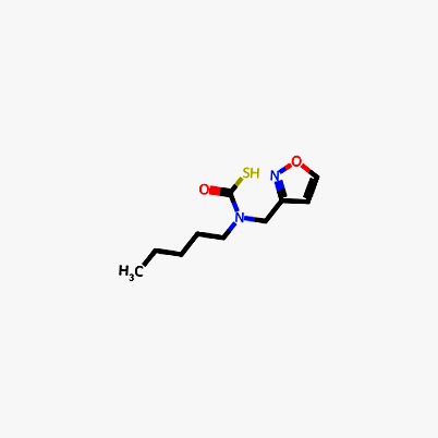 CCCCCN(Cc1ccon1)C(=O)S